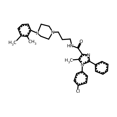 Cc1cccc(N2CCN(CCCNC(=O)c3nc(-c4ccccc4)n(-c4ccc(Cl)cc4)c3C)CC2)c1C